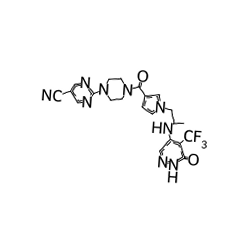 CC(Cn1ccc(C(=O)N2CCN(c3ncc(C#N)cn3)CC2)c1)Nc1cn[nH]c(=O)c1C(F)(F)F